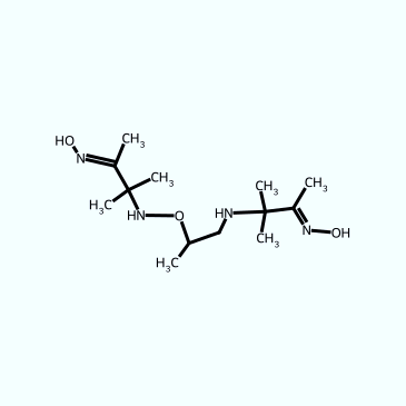 C/C(=N\O)C(C)(C)NCC(C)ONC(C)(C)/C(C)=N/O